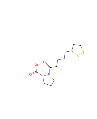 O=C(O)C1CCCN1C(=O)CCCCC1CCSS1